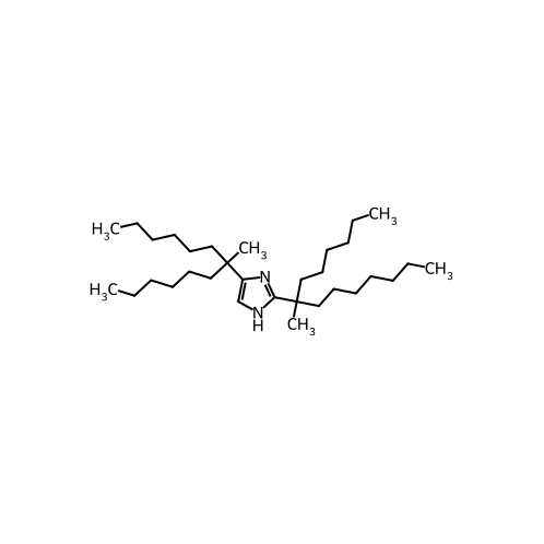 CCCCCCCC(C)(CCCCCC)c1nc(C(C)(CCCCCC)CCCCCC)c[nH]1